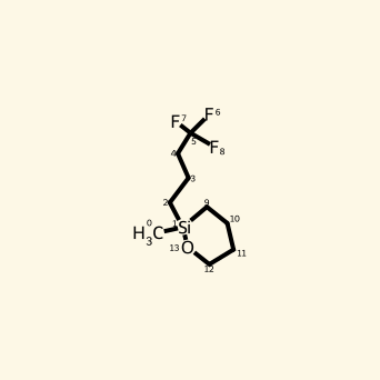 C[Si]1(CCCC(F)(F)F)CCCCO1